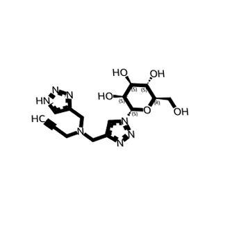 C#CCN(Cc1c[nH]nn1)Cc1cn([C@H]2O[C@H](CO)[C@@H](O)[C@H](O)[C@@H]2O)nn1